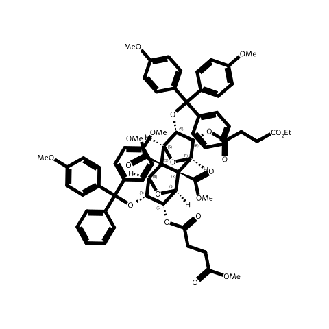 CCOC(=O)CCC(=O)O[C@H]1[C@@H](OC(c2ccccc2)(c2ccc(OC)cc2)c2ccc(OC)cc2)[C@H]2O[C@@H]1[C@]1(C(=O)OC)[C@@H]3O[C@@H]([C@@H](OC(c4ccccc4)(c4ccc(OC)cc4)c4ccc(OC)cc4)[C@H]3OC(=O)CCC(=O)OC)[C@]21C(=O)OC